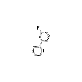 Fc1cccc(-c2[c]cccn2)c1